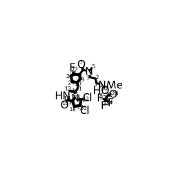 CNCCCN(C)C(=O)c1cc(Cc2c[nH]c(=O)c3cc(Cl)c(Cl)n23)ccc1F.O=C(O)C(F)(F)F